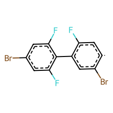 Fc1c[c]c(Br)cc1-c1c(F)cc(Br)cc1F